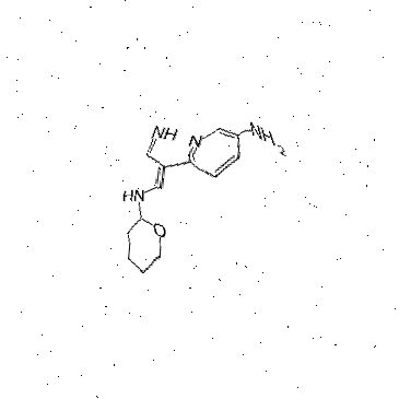 N=C/C(=C\NC1CCCCO1)c1ccc(N)cn1